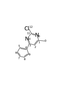 Cc1cc(-c2ccccc2)nc(Cl)n1